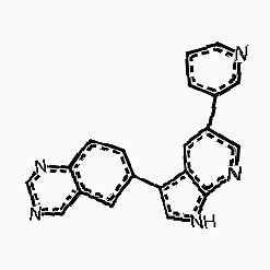 c1cncc(-c2cnc3[nH]cc(-c4ccc5ncncc5c4)c3c2)c1